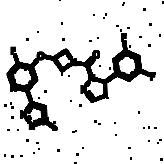 Cn1cc(-c2cc(OC3CN(C(=O)N4N=CCC4c4cc(F)cc(F)c4)C3)c(F)cn2)nn1